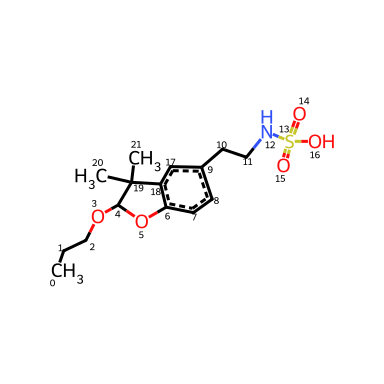 CCCOC1Oc2ccc(CCNS(=O)(=O)O)cc2C1(C)C